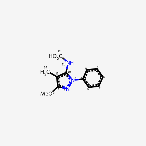 COc1nn(-c2ccccc2)c(NC(=O)O)c1C